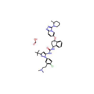 C[C@H]1CCCCN1c1nnc2ccc(O[C@@H]3CC[C@H](NC(=O)Nc4cc(C(C)(C)C)nn4-c4ccc(Cl)c(CCN(C)C)c4)c4ccccc43)cn12.O=CO